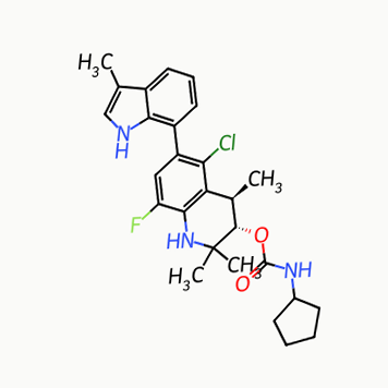 Cc1c[nH]c2c(-c3cc(F)c4c(c3Cl)[C@@H](C)[C@H](OC(=O)NC3CCCC3)C(C)(C)N4)cccc12